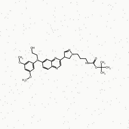 COc1cc(OC)cc(N(CCO)c2ccc3ncc(C4C=NN(CCCNC(=O)OC(C)(C)C)C4)nc3c2)c1